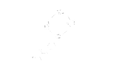 C=C(CCC)C(=O)Oc1ccc(C2=CC3=CC4=NC(=CC5=NC(=CC6=NC(=CC2=N3)C=C6)C=C5)C=C4)cc1